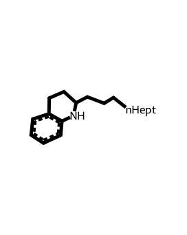 CCCCCCCCCCC1CCc2ccccc2N1